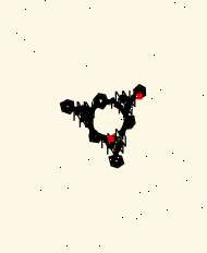 c1ccc(C2=NC3=NC4=NC5=NC(=NC(=N2)N35)c2cccc(c2)C2=NC3=NC(=NC5=NC(c6ccccc6)=NC(=N2)N53)c2cccc(c2)C2=NC3=NC(=NC5=NC(c6ccccc6)=NC(=N2)N53)c2cccc4c2)cc1